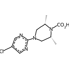 C[C@@H]1CN(c2ncc(Cl)cn2)C[C@H](C)N1C(=O)O